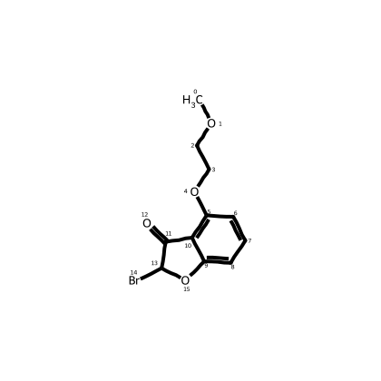 COCCOc1cccc2c1C(=O)C(Br)O2